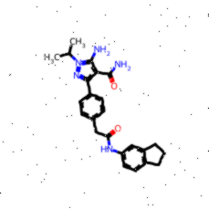 CC(C)n1nc(-c2ccc(CC(=O)Nc3ccc4c(c3)CCC4)cc2)c(C(N)=O)c1N